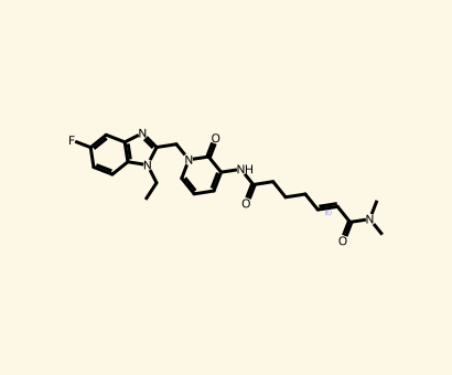 CCn1c(Cn2cccc(NC(=O)CCC/C=C/C(=O)N(C)C)c2=O)nc2cc(F)ccc21